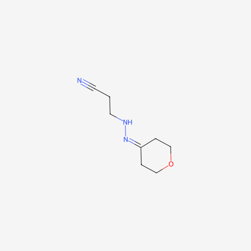 N#CCCNN=C1CCOCC1